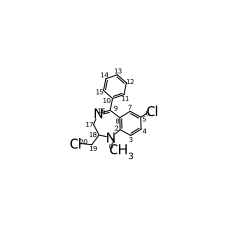 CN1c2ccc(Cl)cc2C(c2ccccc2)=NCC1CCl